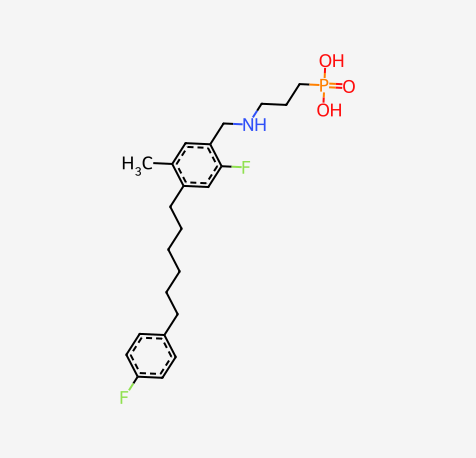 Cc1cc(CNCCCP(=O)(O)O)c(F)cc1CCCCCCc1ccc(F)cc1